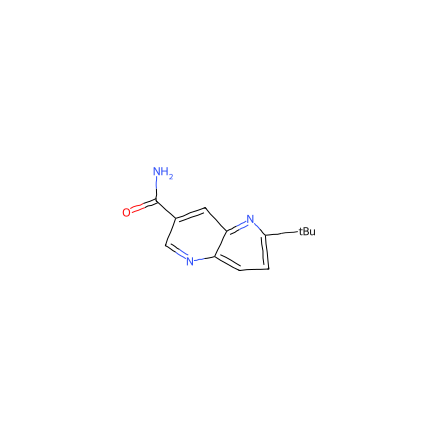 CC(C)(C)c1ccc2ncc(C(N)=O)cc2n1